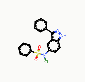 O=S(=O)(c1ccccc1)N(Cl)c1ccc2[nH]nc(-c3ccccc3)c2c1